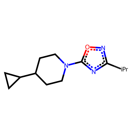 CC(C)c1noc(N2CCC(C3CC3)CC2)n1